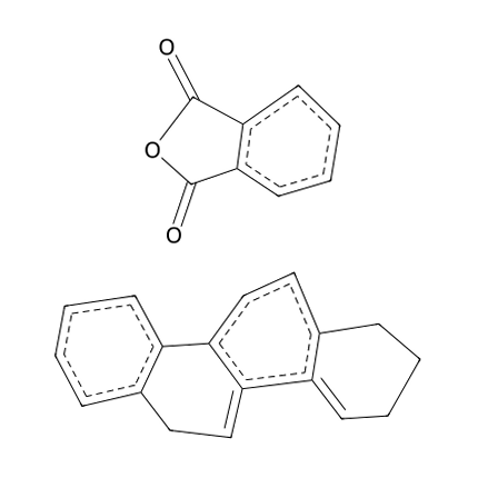 C1=c2c(ccc3c2=CCc2ccccc2-3)CCC1.O=C1OC(=O)c2ccccc21